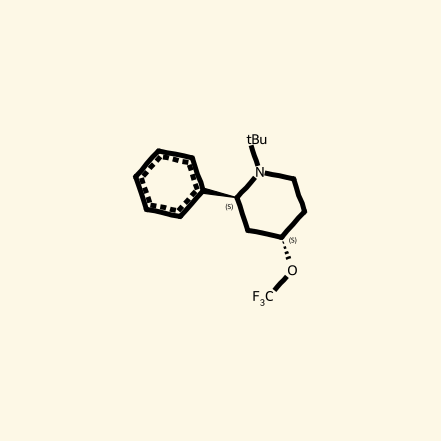 CC(C)(C)N1CC[C@H](OC(F)(F)F)C[C@H]1c1ccccc1